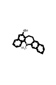 CN1c2cc3ccccc3cc2CCc2c(C(C)(C)C)cc3ccccc3c21